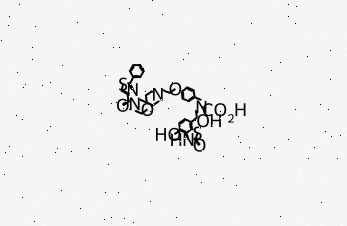 O=C(O)N(Cc1ccc(OCCN2CCC3(CC2)CN(C(=O)c2csc(-c4ccccc4)n2)CCO3)cc1)CC(O)c1ccc(O)c2[nH]c(=O)sc12